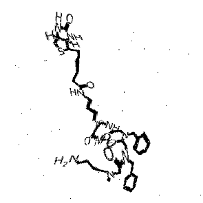 CN(CCCCN)CC(=O)N(CC(=O)N(CC(=O)N[C@@H](CCCCNC(=O)CCCCC1SC[C@@H]2NC(=O)N[C@H]12)C(N)=O)Cc1ccccc1)Cc1ccccc1